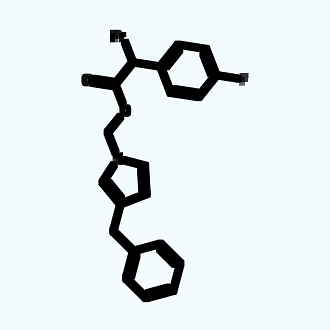 CC(C)C(C(=O)OCn1ccc(Cc2ccccc2)c1)c1ccc(F)cc1